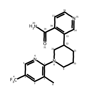 Cc1cc(C(F)(F)F)cnc1N1CCCC(c2cnccc2C(N)=O)C1